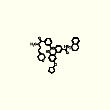 CN(CCN1CCOCC1)C(=O)c1cccc(C(=O)Nc2ccc(OC3CCCC3)cc2-c2cc(C(=O)N[C@H]3CCCc4ccccc43)ccn2)c1